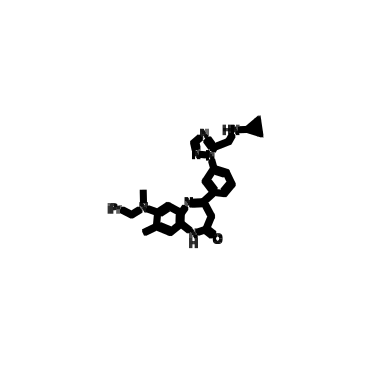 Cc1cc2c(cc1N(C)CC(C)C)N=C(c1cccc(-n3ncnc3CNC3CC3)c1)CC(=O)N2